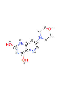 Oc1nc(O)c2ncc(N3CCOCC3)cc2n1